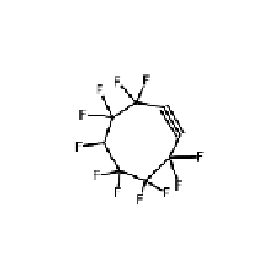 FC1C(F)(F)C(F)(F)C#CC(F)(F)C(F)(F)C1(F)F